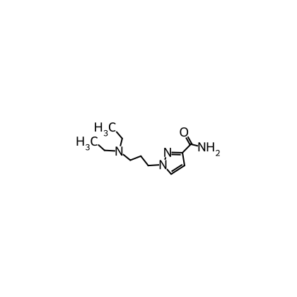 CCN(CC)CCCn1ccc(C(N)=O)n1